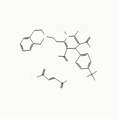 CC1=C(C(=O)O)C(c2ccc(C(F)(F)F)cc2)C(C(=O)O)=C(CCN2CCc3ccccc3C2)N1C.O=C(O)C=CC(=O)O